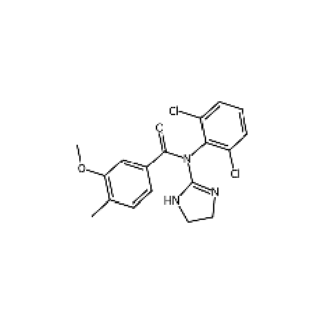 COc1cc(C(=O)N(C2=NCCN2)c2c(Cl)cccc2Cl)ccc1C